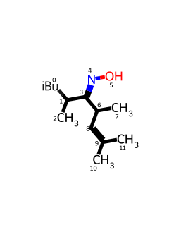 CCC(C)C(C)C(=NO)C(C)C=C(C)C